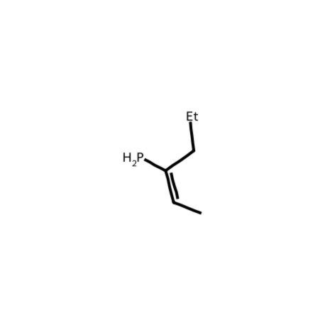 C/C=C(/P)CCC